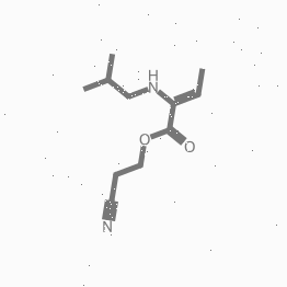 CC=C(NCC(C)C)C(=O)OCCC#N